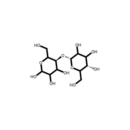 OCC1O[C@H](O[C@@H]2C(CO)OC(O)C(O)C2O)C(O)C(O)[C@@H]1O